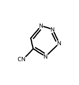 [C-]#[N+]c1cnnnn1